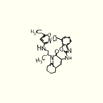 Cc1cc(NC[C@H](C)NC(=O)C(CC2CCCCC2)Nc2nc3cccc(Cl)c3o2)no1